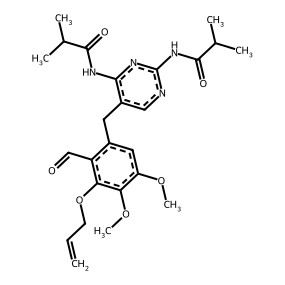 C=CCOc1c(C=O)c(Cc2cnc(NC(=O)C(C)C)nc2NC(=O)C(C)C)cc(OC)c1OC